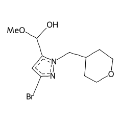 COC(O)c1cc(Br)nn1CC1CCOCC1